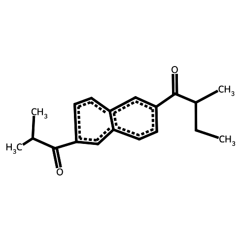 CCC(C)C(=O)c1ccc2cc(C(=O)C(C)C)ccc2c1